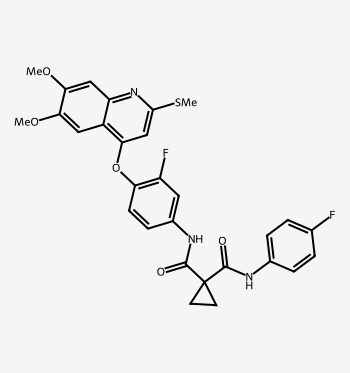 COc1cc2nc(SC)cc(Oc3ccc(NC(=O)C4(C(=O)Nc5ccc(F)cc5)CC4)cc3F)c2cc1OC